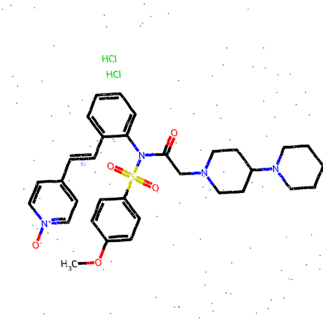 COc1ccc(S(=O)(=O)N(C(=O)CN2CCC(N3CCCCC3)CC2)c2ccccc2/C=C/c2cc[n+]([O-])cc2)cc1.Cl.Cl